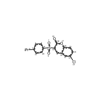 CC(C)c1ccc(S(=O)(=O)c2cc3cc(Cl)ccc3oc2=O)cc1